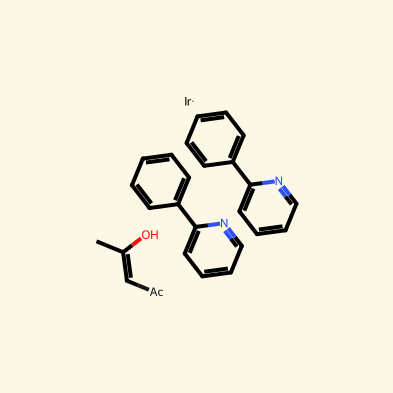 CC(=O)/C=C(/C)O.[Ir].c1ccc(-c2ccccn2)cc1.c1ccc(-c2ccccn2)cc1